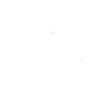 CCc1cccc(C(C)C2CO2)c1